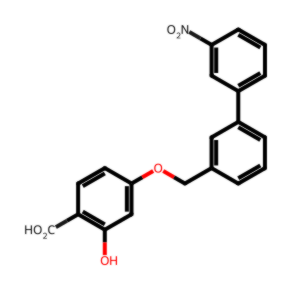 O=C(O)c1ccc(OCc2cccc(-c3cccc([N+](=O)[O-])c3)c2)cc1O